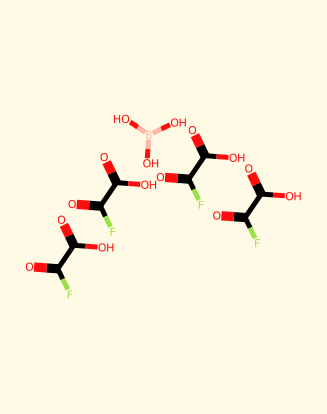 O=C(O)C(=O)F.O=C(O)C(=O)F.O=C(O)C(=O)F.O=C(O)C(=O)F.OB(O)O